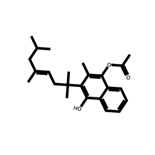 CC(=O)Oc1c(C)c(C(C)(C)C/C=C(\C)CC(C)C)c(O)c2ccccc12